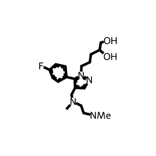 CNCCN(C)Cc1cnn(CCCC(O)CO)c1-c1ccc(F)cc1